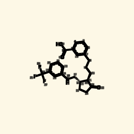 O=C(O)c1cccc(CCC[C@H]2C(=O)CC[C@@H]2CNc2cccc(C(F)(F)F)c2)c1